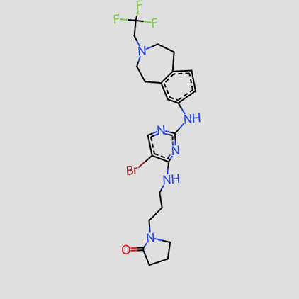 O=C1CCCN1CCCNc1nc(Nc2ccc3c(c2)CCN(CC(F)(F)F)CC3)ncc1Br